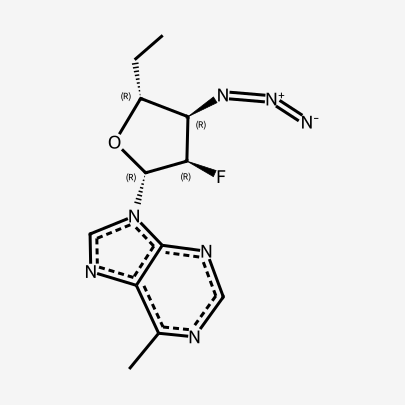 CC[C@H]1O[C@@H](n2cnc3c(C)ncnc32)[C@H](F)[C@@H]1N=[N+]=[N-]